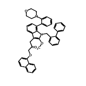 O=C(O)Oc1c(CCCOc2cccc3ccccc23)c2cccc(-c3ccccc3N3CCOCC3)c2n1Cc1ccccc1-c1ccccc1